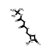 CC(C)(C)OC(=O)CC(=O)CCC1CC(=O)N1O